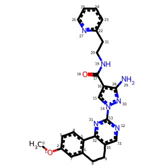 COc1ccc2c(c1)CCc1cnc(-n3cc(C(=O)NCCc4ccccn4)c(N)n3)nc1-2